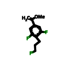 C=C(OC)c1cc(F)c(CCCF)c(F)c1